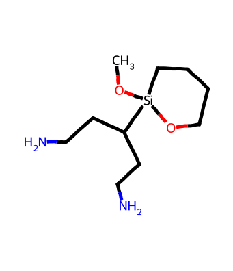 CO[Si]1(C(CCN)CCN)CCCCO1